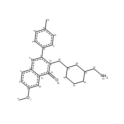 COc1ccc2nc(-c3ccc(C)cc3)n(CC3CCCC(CN)C3)c(=O)c2c1